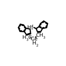 C1=C[CH]([Hf][CH]2C=Cc3ccccc32)c2ccccc21.[CH3][GeH2][CH3]